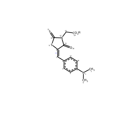 CN(C)c1ccc(/C=C2/SC(=S)N(CC(=O)O)C2=O)cc1